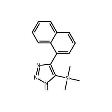 C[Si](C)(C)c1[nH]nnc1-c1cccc2ccccc12